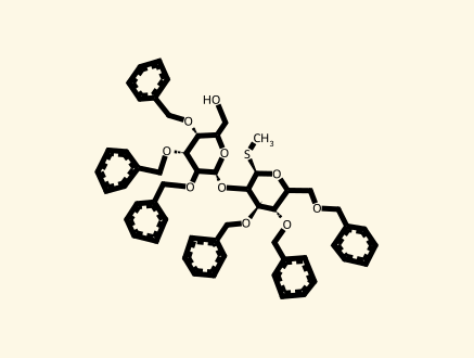 CS[C@H]1OC(COCc2ccccc2)[C@H](OCc2ccccc2)[C@@H](OCc2ccccc2)C1O[C@H]1OC(CO)[C@@H](OCc2ccccc2)[C@@H](OCc2ccccc2)C1OCc1ccccc1